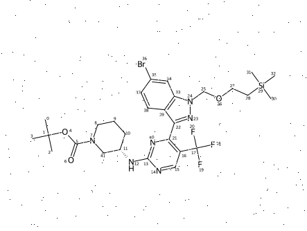 CC(C)(C)OC(=O)N1CCC[C@H](Nc2ncc(C(F)(F)F)c(-c3nn(COCC[Si](C)(C)C)c4cc(Br)ccc34)n2)C1